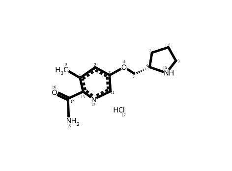 Cc1cc(OC[C@@H]2CCCN2)cnc1C(N)=O.Cl